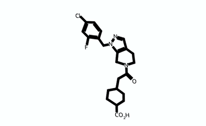 O=C(O)C1CCC(CC(=O)N2CCc3cnn(Cc4ccc(Cl)cc4F)c3C2)CC1